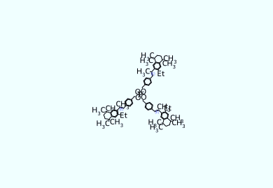 CCc1cc2c(cc1/C(C)=C/c1ccc(COP(=O)(OCc3ccc(/C=C(\C)c4cc5c(cc4CC)C(C)(C)CCC5(C)C)cc3)OCc3ccc(/C=C(\C)c4cc5c(cc4CC)C(C)(C)CCC5(C)C)cc3)cc1)C(C)(C)CCC2(C)C